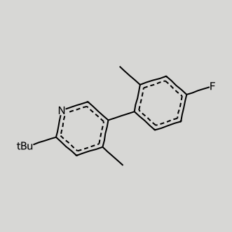 Cc1cc(F)ccc1-c1cnc(C(C)(C)C)cc1C